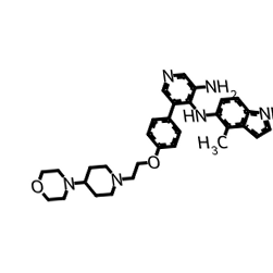 Cc1c(Nc2c(N)cncc2-c2ccc(OCCN3CCC(N4CCOCC4)CC3)cc2)ccc2[nH]ccc12